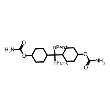 CCCCCC(CCCCC)(C1CCC(OC(N)=O)CC1)C1CCC(OC(N)=O)CC1